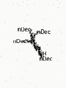 CCCCCCCCCCCCCCN(CCCCCCCCCCCCCC)CCN(CCCCCCCCCCCCCC)CCN1CCN(CCNCCCCCCCCCCCC)CC1